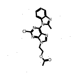 CC(=O)OCCn1cnc2c(-n3c(C)nc4ccccc43)nc(Cl)nc21